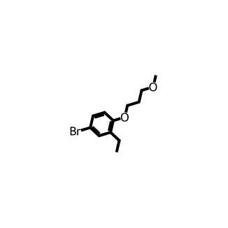 CCc1cc(Br)ccc1OCCCOC